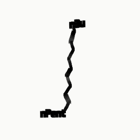 [CH2]CCCC=CCCC=CCC=CCCCCC